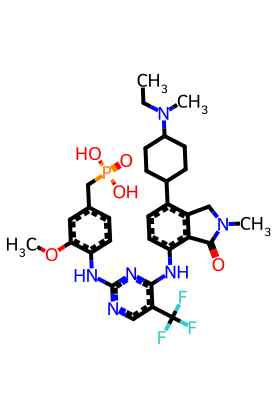 CCN(C)C1CCC(c2ccc(Nc3nc(Nc4ccc(CP(=O)(O)O)cc4OC)ncc3C(F)(F)F)c3c2CN(C)C3=O)CC1